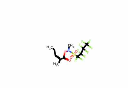 CCC=C(C)C(=O)ON(C)S(=O)(=O)C(F)(F)C(F)(F)C(F)(F)C(F)(F)F